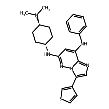 CN(C)[C@H]1CC[C@H](Nc2cc(Nc3ccccc3)c3ncc(-c4ccsc4)n3n2)CC1